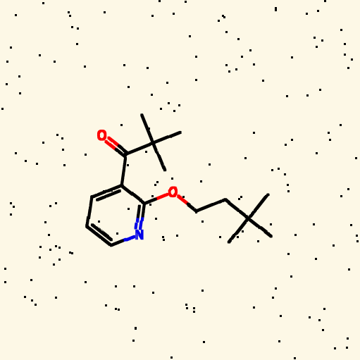 CC(C)(C)CCOc1ncccc1C(=O)C(C)(C)C